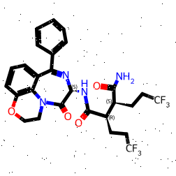 NC(=O)[C@@H](CCC(F)(F)F)[C@@H](CCC(F)(F)F)C(=O)N[C@H]1N=C(c2ccccc2)c2cccc3c2N(CCO3)C1=O